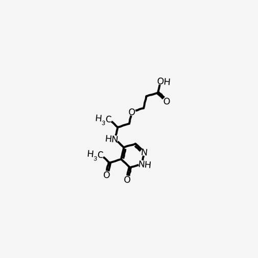 CC(=O)c1c(NC(C)COCCC(=O)O)cn[nH]c1=O